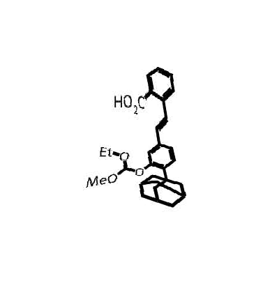 CCOC(OC)Oc1cc(C=Cc2ccccc2C(=O)O)ccc1C12CC3CC(CC(C3)C1)C2